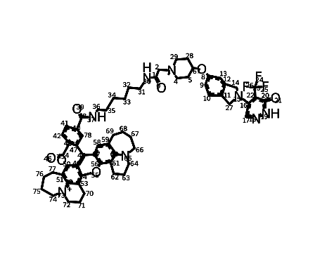 O=C(CN1CCC(Oc2ccc3c(c2)CN(c2cn[nH]c(=O)c2C(F)(F)F)C3)CC1)NCCCCCCNC(=O)c1ccc(C(=O)[O-])c(C2=c3cc4c5c(c3Oc3c2cc2c6c3CCCN6CCCC2)CCC[N+]=5CCCC4)c1